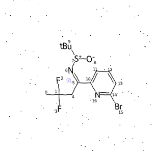 CC(F)(F)C/C(=N/[S+]([O-])C(C)(C)C)c1cccc(Br)n1